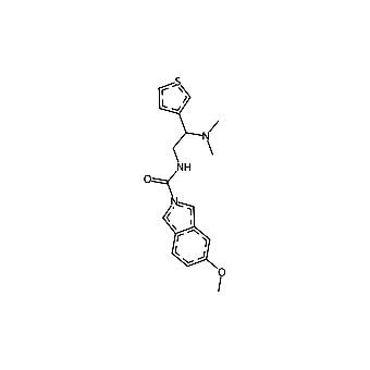 COc1ccc2cn(C(=O)NCC(c3ccsc3)N(C)C)cc2c1